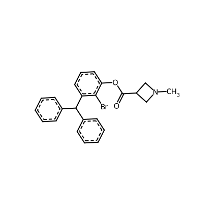 CN1CC(C(=O)Oc2cccc(C(c3ccccc3)c3ccccc3)c2Br)C1